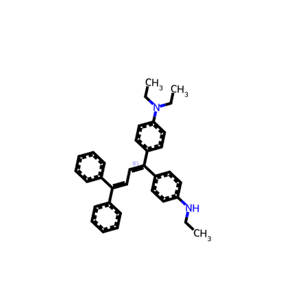 CCNc1ccc(/C(=C\C=C(c2ccccc2)c2ccccc2)c2ccc(N(CC)CC)cc2)cc1